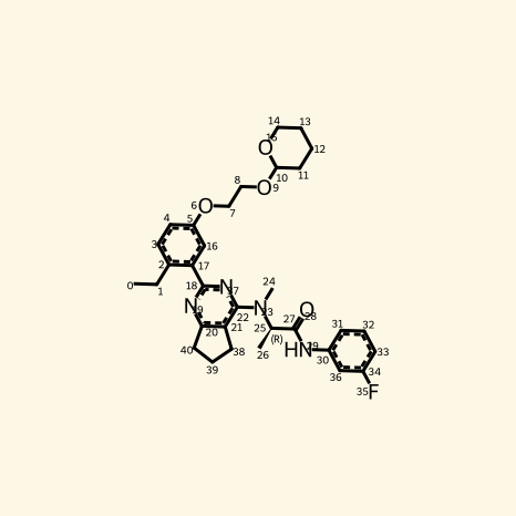 CCc1ccc(OCCOC2CCCCO2)cc1-c1nc2c(c(N(C)[C@H](C)C(=O)Nc3cccc(F)c3)n1)CCC2